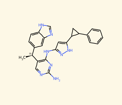 C[C@@H](c1ccc2[nH]cnc2c1)c1cnc(N)nc1Nc1cc(C2CC2c2ccccc2)[nH]n1